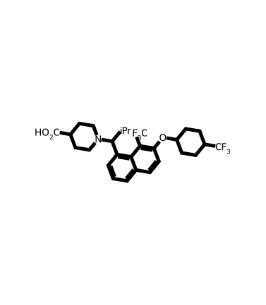 CC(C)C(c1cccc2ccc(OC3CCC(C(F)(F)F)CC3)c(C(F)(F)F)c12)N1CCC(C(=O)O)CC1